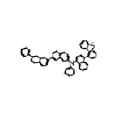 c1ccc(-c2ccc3ccc(-c4ccc5ccc(N(c6ccccc6)c6ccc(-c7cccc8sc9ccccc9c78)c7ccccc67)cc5c4)cc3c2)cc1